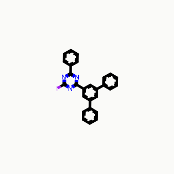 Ic1nc(-c2ccccc2)nc(-c2cc(-c3ccccc3)cc(-c3ccccc3)c2)n1